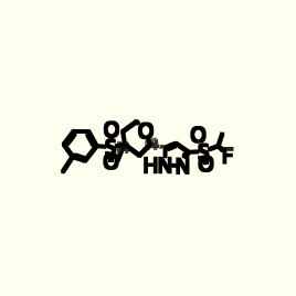 Cc1cccc(S(=O)(=O)[C@]2(C)CCO[C@H](c3cc(S(=O)(=O)C(C)F)n[nH]3)C2)c1